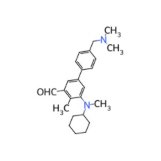 Cc1c(C=O)cc(-c2ccc(CN(C)C)cc2)cc1N(C)C1CCCCC1